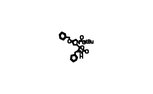 CC(C)(C)OC(=O)N1C[C@H](OCc2ccccc2)CC1[C@H]1OC(=O)N[C@H]1Cc1ccccc1